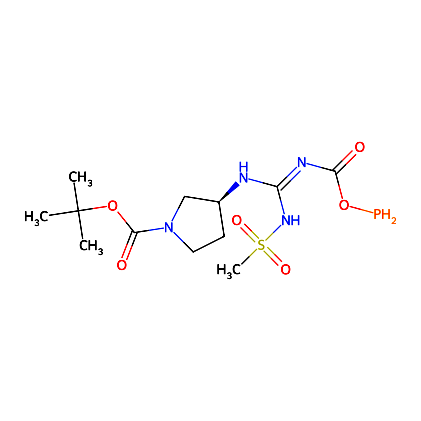 CC(C)(C)OC(=O)N1CC[C@H](NC(=NC(=O)OP)NS(C)(=O)=O)C1